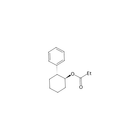 CCC(=O)O[C@H]1CCCC[C@@H]1c1ccccc1